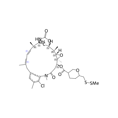 CSSCC1CCC(C(=O)O[C@H]2CC(=O)N(C)c3cc(cc(C)c3Cl)C/C(C)=C/C=C/[C@@H](C)[C@@]3(O)C[C@H](OC(=O)N3)[C@@H](C)[C@@H]3O[C@@]23C)CO1